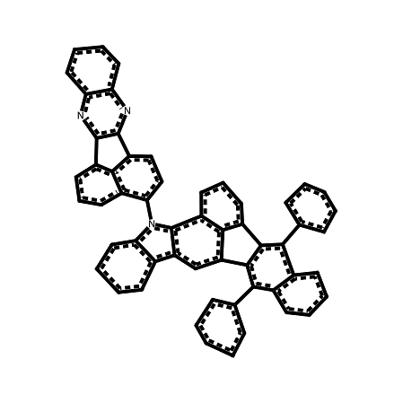 c1ccc(-c2c3c(c(-c4ccccc4)c4ccccc24)-c2cc4c5ccccc5n(-c5ccc6c7c(cccc57)-c5nc7ccccc7nc5-6)c4c4cccc-3c24)cc1